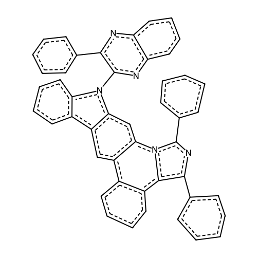 c1ccc(-c2nc3ccccc3nc2-n2c3ccccc3c3cc4c5ccccc5c5c(-c6ccccc6)nc(-c6ccccc6)n5c4cc32)cc1